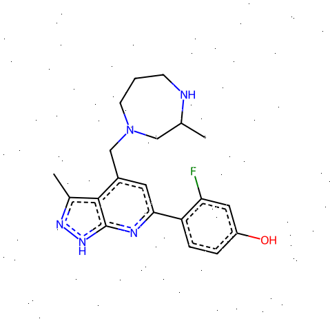 Cc1n[nH]c2nc(-c3ccc(O)cc3F)cc(CN3CCCNC(C)C3)c12